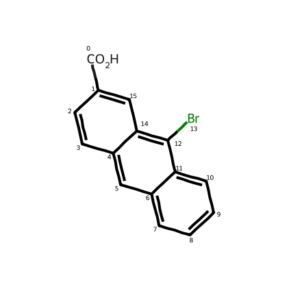 O=C(O)c1ccc2cc3ccccc3c(Br)c2c1